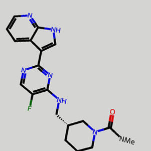 CNC(=O)N1CCC[C@H](CNc2nc(-c3c[nH]c4ncccc34)ncc2F)C1